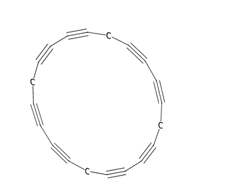 C1#CCC#CC#CCC#CC#CCC#CC#CCC#C1